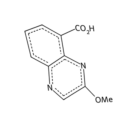 COc1cnc2cccc(C(=O)O)c2n1